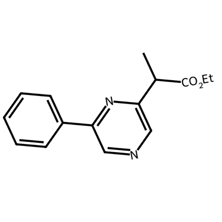 CCOC(=O)C(C)c1cncc(-c2ccccc2)n1